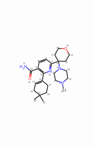 CCN1CCN(C2(c3ccc(C(N)=O)c(C4=CCC(C)(C)CC4)n3)CCOCC2)CC1